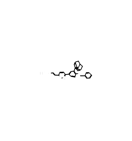 O=C(O)C=Cc1ccc(-c2ccc(OCc3ccccc3)c(C34CC5CC(CC(C5)C3)C4)c2)nn1